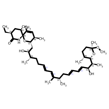 CC[C@H]1C[C@H](C)[C@@]2(NC1=O)O[C@@H](C[C@H](O)[C@@H](C)CC/C=C/C=C(\C)[C@@H](C)C/C=C/C=C/[C@H](O)[C@H](C)[C@H]1O[C@](C)(OC)CC[C@H]1C)[C@H](C)C=C2C